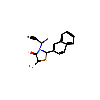 C#CC(I)N1C(=O)C(C)SC1c1ccc2ccccc2c1